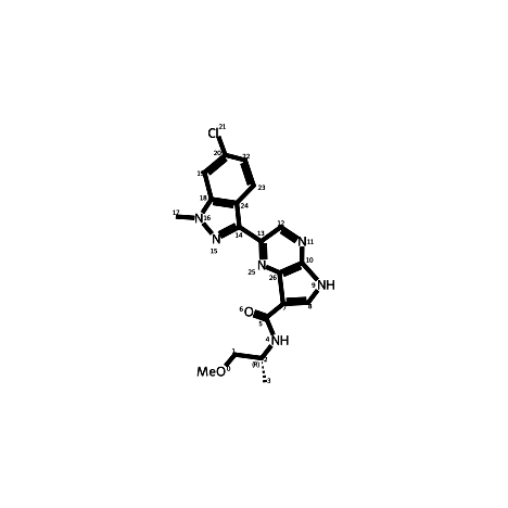 COC[C@@H](C)NC(=O)c1c[nH]c2ncc(-c3nn(C)c4cc(Cl)ccc34)nc12